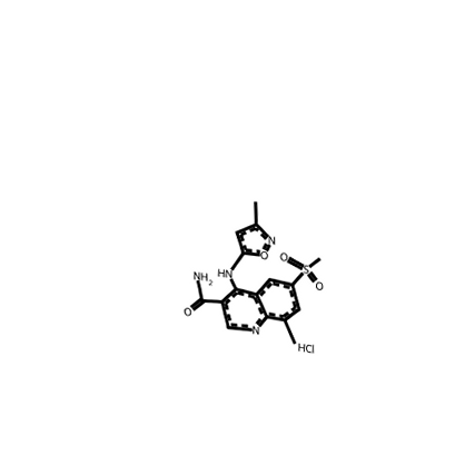 Cc1cc(Nc2c(C(N)=O)cnc3c(C)cc(S(C)(=O)=O)cc23)on1.Cl